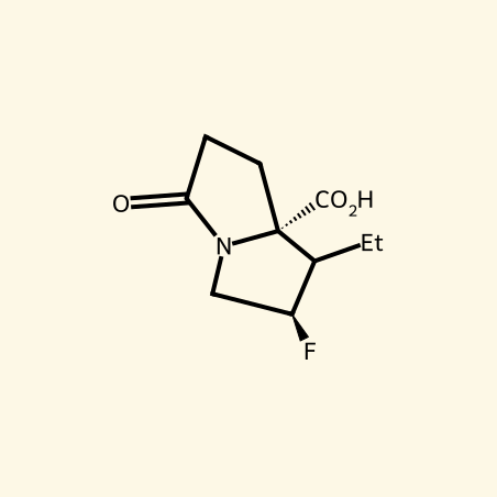 CCC1[C@@H](F)CN2C(=O)CC[C@@]12C(=O)O